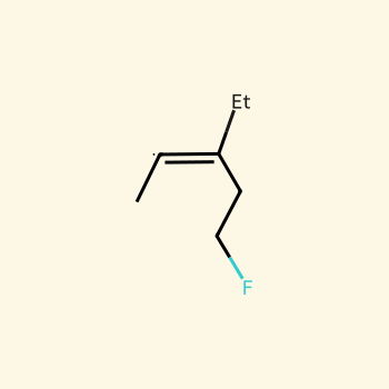 C[C]=C(CC)CCF